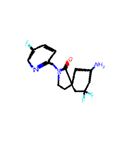 NC1CC(F)(F)CC2(CCN(c3ccc(F)cn3)C2=O)C1